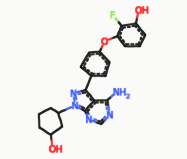 Nc1ncnc2c1c(-c1ccc(Oc3cccc(O)c3F)cc1)nn2C1CCCC(O)C1